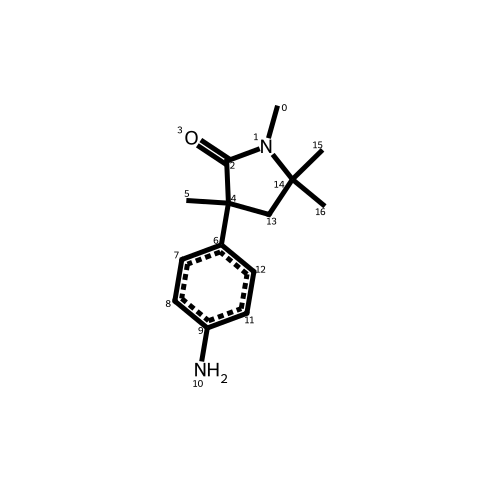 CN1C(=O)C(C)(c2ccc(N)cc2)CC1(C)C